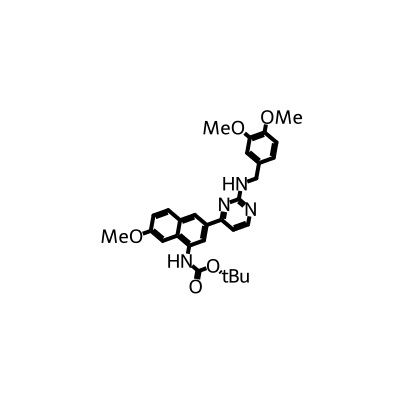 COc1ccc2cc(-c3ccnc(NCc4ccc(OC)c(OC)c4)n3)cc(NC(=O)OC(C)(C)C)c2c1